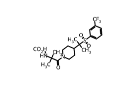 CC(C)(NC(=O)O)C(=O)N1CCC(C(C)(C)S(=O)(=O)c2cccc(C(F)(F)F)c2)CC1